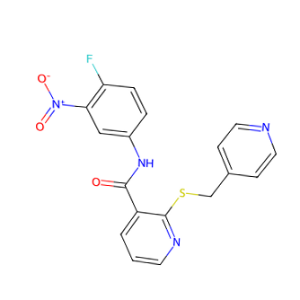 O=C(Nc1ccc(F)c([N+](=O)[O-])c1)c1cccnc1SCc1ccncc1